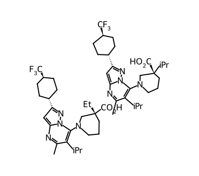 CC[C@@]1(C(=O)O)CCCN(c2c(C(C)C)c(C)nc3cc([C@H]4CC[C@H](C(F)(F)F)CC4)nn23)C1.Cc1nc2cc([C@H]3CC[C@H](C(F)(F)F)CC3)nn2c(N2CCC[C@@](C(=O)O)(C(C)C)C2)c1C(C)C